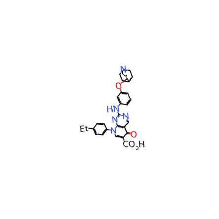 CCc1ccc(-n2cc(C(=O)O)c(=O)c3cnc(Nc4cccc(OC5CN6CCC5CC6)c4)nc32)cc1